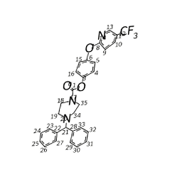 O=C(Oc1ccc(Oc2ccc(C(F)(F)F)cn2)cc1)N1CCN(C(c2ccccc2)c2ccccc2)CC1